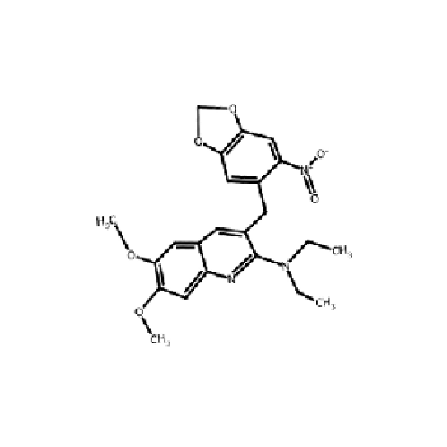 CCN(CC)c1nc2cc(OC)c(OC)cc2cc1Cc1cc2c(cc1[N+](=O)[O-])OCO2